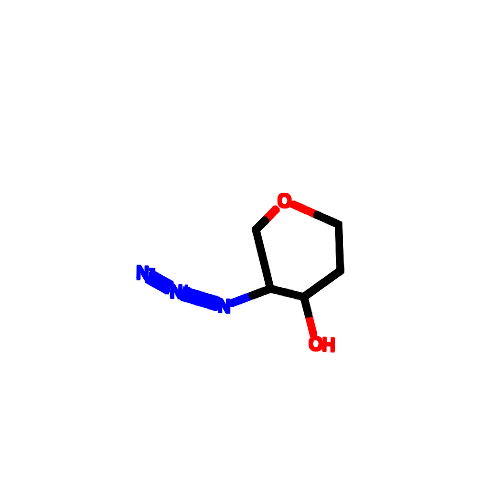 [N-]=[N+]=NC1COCCC1O